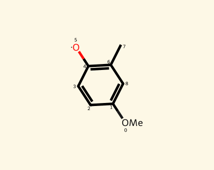 COc1ccc([O])c(C)c1